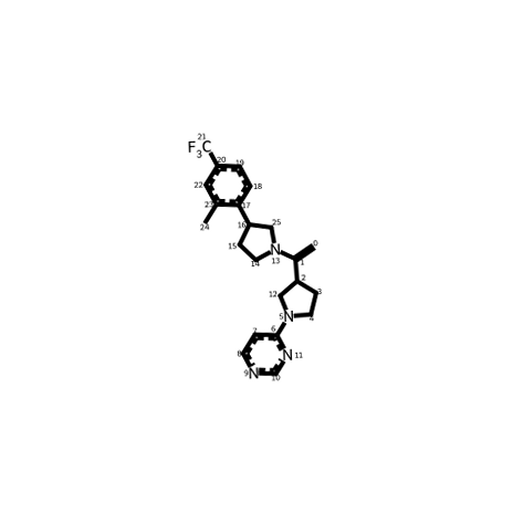 C=C(C1CCN(c2ccncn2)C1)N1CCC(c2ccc(C(F)(F)F)cc2C)C1